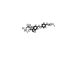 C=C(C)NC(C)c1coc2cc(COc3ccc(OCC)cc3)ccc12